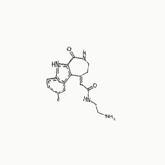 NCCNC(=O)C=C1CCNC(=O)c2[nH]c3ccc(F)cc3c21